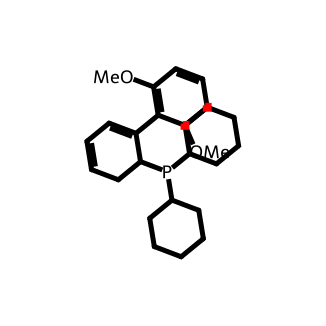 COC1=C(C2=CC=CCC2P(C2CCCCC2)C2CCCCC2)C(OC)CC=C1